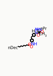 CCCCCCCCCCCCCCCCCCOC(=O)Nc1ccc(Cc2ccc(NC(=O)C(C)(C)C(=O)NCCC)cc2)cc1